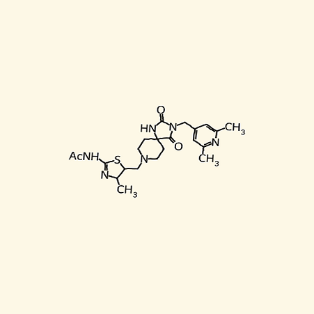 CC(=O)NC1=NC(C)C(CN2CCC3(CC2)NC(=O)N(Cc2cc(C)nc(C)c2)C3=O)S1